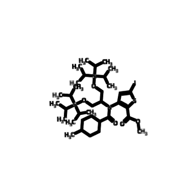 COC(=O)c1sc(I)cc1N(C(=O)C1CCC(C)CC1)C(CO[Si](C(C)C)(C(C)C)C(C)C)CO[Si](C(C)C)(C(C)C)C(C)C